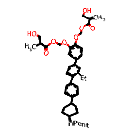 C=C(CO)C(=O)OCOc1ccc(-c2ccc(-c3ccc(C4CCC(CCCCC)CC4)cc3)c(CC)c2)cc1OCOC(=O)C(C)CO